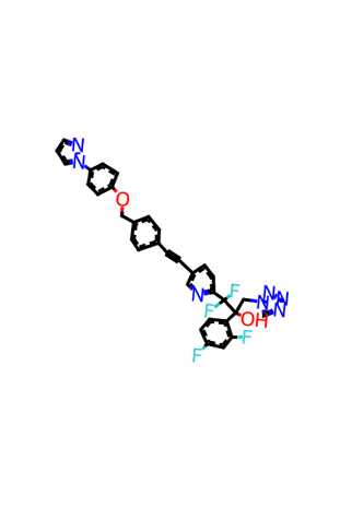 OC(Cn1cnnn1)(c1ccc(F)cc1F)C(F)(F)c1ccc(C#Cc2ccc(COc3ccc(-n4cccn4)cc3)cc2)cn1